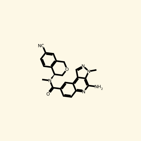 CN(C(=O)c1ccc2nc(N)c3c(cnn3C)c2c1)[C@@H]1COCc2cc(C#N)ccc21